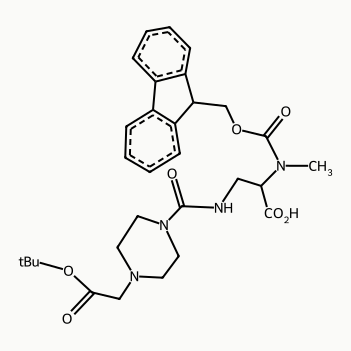 CN(C(=O)OCC1c2ccccc2-c2ccccc21)C(CNC(=O)N1CCN(CC(=O)OC(C)(C)C)CC1)C(=O)O